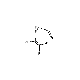 C=CC(F)(F)F.FC(F)=C(F)Cl